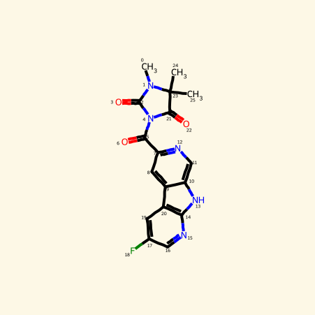 CN1C(=O)N(C(=O)c2cc3c(cn2)[nH]c2ncc(F)cc23)C(=O)C1(C)C